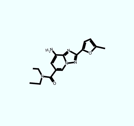 CCN(CC)C(=O)c1cc(N)c2nc(-c3ccc(C)o3)nn2c1